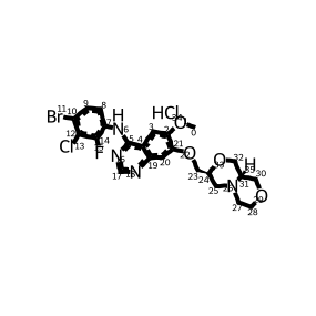 COc1cc2c(Nc3ccc(Br)c(Cl)c3F)ncnc2cc1OC[C@@H]1CN2CCOC[C@H]2CO1.Cl